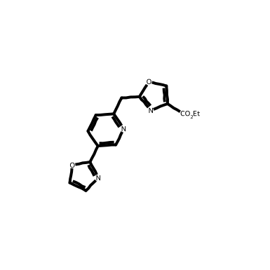 CCOC(=O)c1coc(Cc2ccc(-c3ncco3)cn2)n1